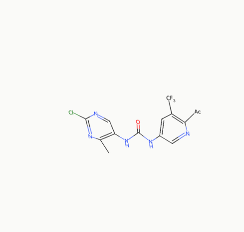 CC(=O)c1ncc(NC(=O)Nc2cnc(Cl)nc2C)cc1C(F)(F)F